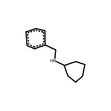 c1ccc(CN[C]2CCCCC2)cc1